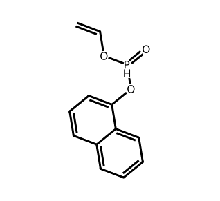 C=CO[PH](=O)Oc1cccc2ccccc12